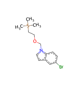 CS(C)(C)CCOCn1ccc2cc(Br)ccc21